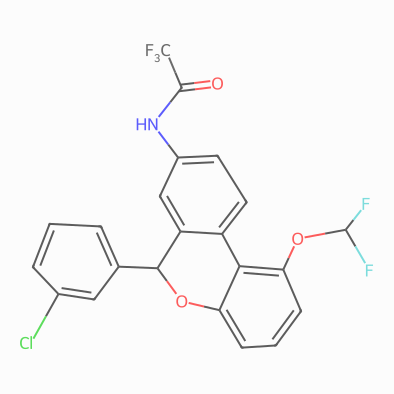 O=C(Nc1ccc2c(c1)C(c1cccc(Cl)c1)Oc1cccc(OC(F)F)c1-2)C(F)(F)F